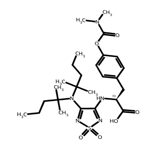 CCCC(C)(C)N(C1=NS(=O)(=O)N=C1N[C@@H](Cc1ccc(OC(=O)N(C)C)cc1)C(=O)O)C(C)(C)CCC